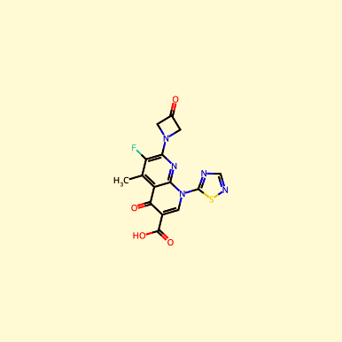 Cc1c(F)c(N2CC(=O)C2)nc2c1c(=O)c(C(=O)O)cn2-c1ncns1